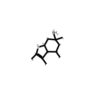 BC1(C)CC(C)C2C(C)=C(C)SC2C1